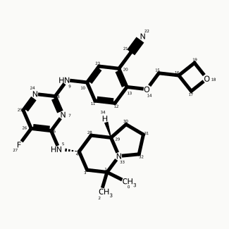 CC1(C)C[C@H](Nc2nc(Nc3ccc(OCC4COC4)c(C#N)c3)ncc2F)C[C@@H]2CCCN21